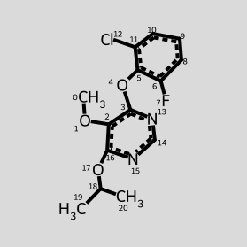 COc1c(Oc2c(F)cccc2Cl)ncnc1OC(C)C